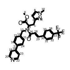 COC(=O)C(Cc1ccn(C)n1)N(Cc1ccc(-c2ccncc2)cc1)C(=O)C=Cc1ccc(C(F)(F)F)cc1